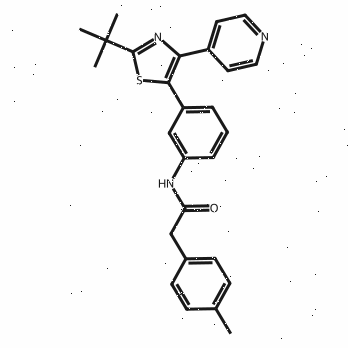 Cc1ccc(CC(=O)Nc2cccc(-c3sc(C(C)(C)C)nc3-c3ccncc3)c2)cc1